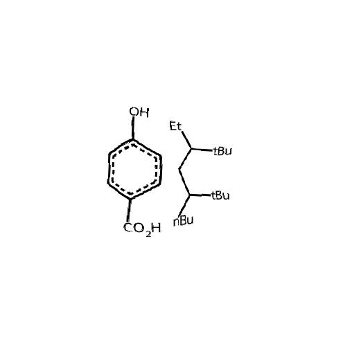 CCCCC(CC(CC)C(C)(C)C)C(C)(C)C.O=C(O)c1ccc(O)cc1